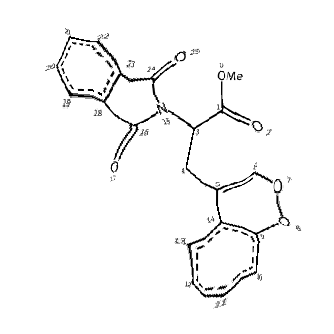 COC(=O)C(CC1=COOc2ccccc21)N1C(=O)c2ccccc2C1=O